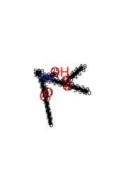 CCCCCCCCCCCOC(=O)CCCCCN(CCN(CCO)CCCCCC(OCCCCCCCC)OCCCCCCCC)C1CCC1